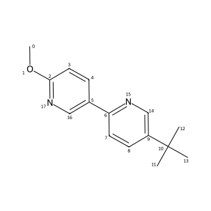 COc1ccc(-c2ccc(C(C)(C)C)cn2)cn1